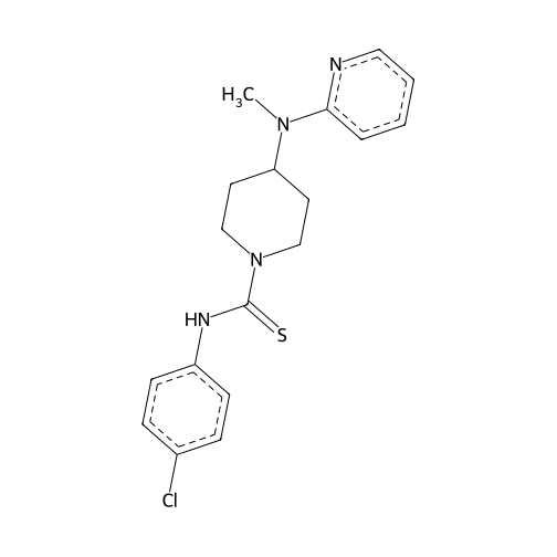 CN(c1ccccn1)C1CCN(C(=S)Nc2ccc(Cl)cc2)CC1